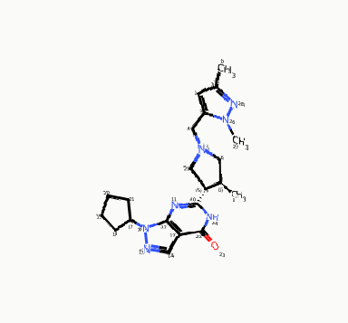 Cc1cc(CN2C[C@@H](C)[C@H](c3nc4c(cnn4C4CCCC4)c(=O)[nH]3)C2)n(C)n1